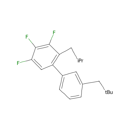 CC(C)Cc1c(-c2cccc(CC(C)(C)C)c2)cc(F)c(F)c1F